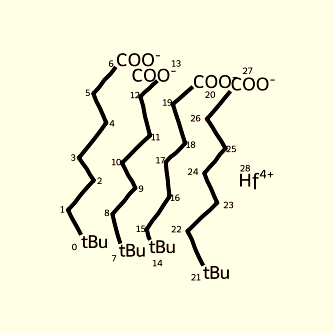 CC(C)(C)CCCCCC(=O)[O-].CC(C)(C)CCCCCC(=O)[O-].CC(C)(C)CCCCCC(=O)[O-].CC(C)(C)CCCCCC(=O)[O-].[Hf+4]